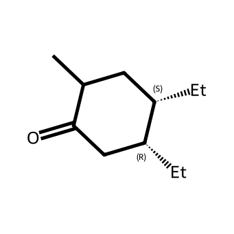 CC[C@@H]1CC(=O)C(C)C[C@@H]1CC